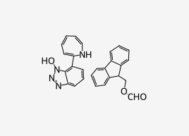 O=COCC1c2ccccc2-c2ccccc21.On1nnc2cccc(C3=CC=CC=CN3)c21